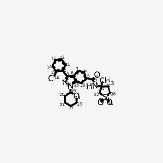 CC1(NC(=O)c2ccc3c(-c4ccccc4Cl)nn(C4CCCCO4)c3c2)CCS(=O)(=O)C1